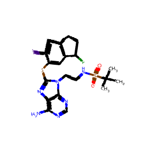 CC(C)(C)S(=O)(=O)NCCn1c(Sc2cc3c(cc2I)CCC3F)nc2c(N)ncnc21